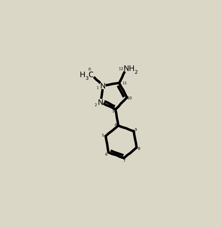 Cn1nc(C2CC=CCC2)cc1N